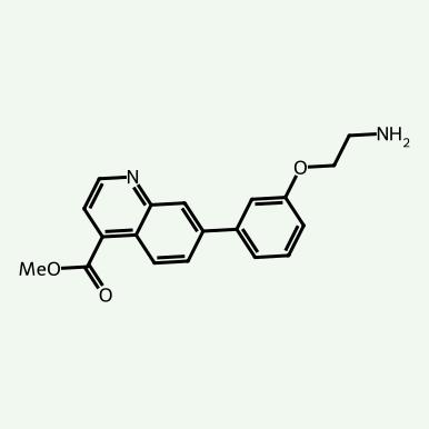 COC(=O)c1ccnc2cc(-c3cccc(OCCN)c3)ccc12